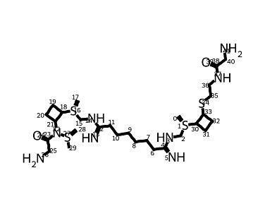 C=S(CNC(=N)CCCCCCC(=N)NCS(=C)C1CCC1N(C(=O)CN)S(=C)C)C1CCC1SCCNC(=O)CN